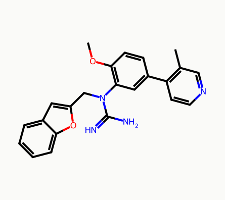 COc1ccc(-c2ccncc2C)cc1N(Cc1cc2ccccc2o1)C(=N)N